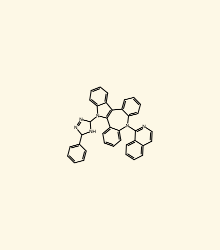 c1ccc(C2N=NC(n3c4c(c5ccccc53)-c3ccccc3N(c3nccc5ccccc35)c3ccccc3-4)N2)cc1